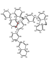 c1ccc(-c2ccccc2-c2ccccc2N(c2ccc(-c3cccc(-c4ccc5ccccc5c4)c3)cc2)c2ccc(-c3cccc4sc5ccccc5c34)cc2)cc1